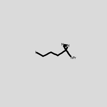 CCCC1(CCCI)N=N1